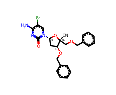 N#C[C@]1(COCc2ccccc2)O[C@@H](n2cc(Br)c(N)nc2=O)C[C@@H]1OCc1ccccc1